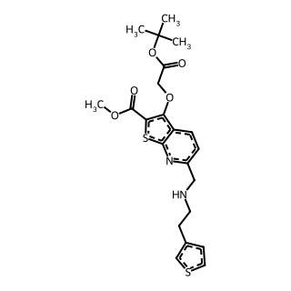 COC(=O)c1sc2nc(CNCCc3ccsc3)ccc2c1OCC(=O)OC(C)(C)C